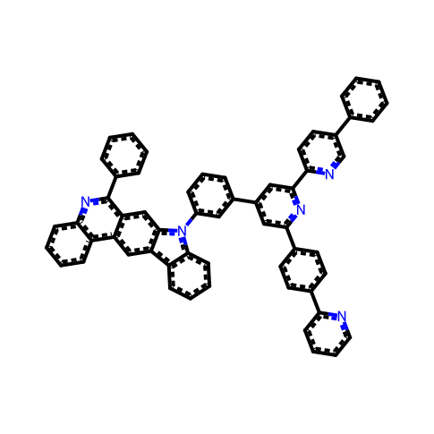 c1ccc(-c2ccc(-c3cc(-c4cccc(-n5c6ccccc6c6cc7c(cc65)c(-c5ccccc5)nc5ccccc57)c4)cc(-c4ccc(-c5ccccn5)cc4)n3)nc2)cc1